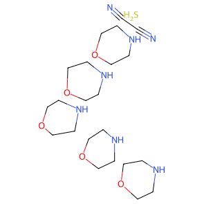 C1COCCN1.C1COCCN1.C1COCCN1.C1COCCN1.C1COCCN1.N#CC#N.S